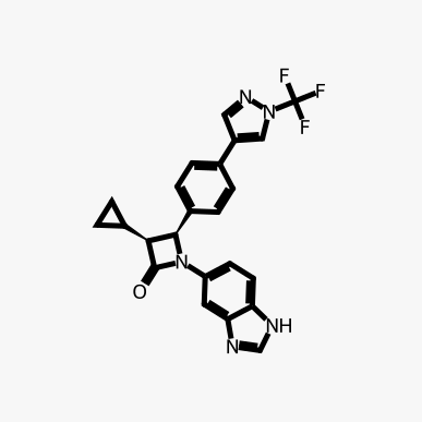 O=C1[C@@H](C2CC2)[C@@H](c2ccc(-c3cnn(C(F)(F)F)c3)cc2)N1c1ccc2[nH]cnc2c1